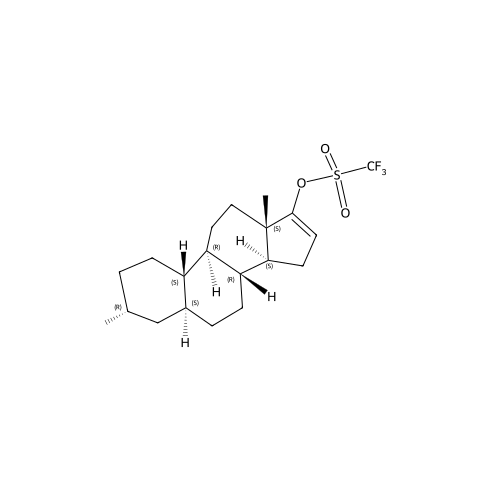 C[C@@H]1CC[C@H]2[C@@H](CC[C@@H]3[C@@H]2CC[C@]2(C)C(OS(=O)(=O)C(F)(F)F)=CC[C@@H]32)C1